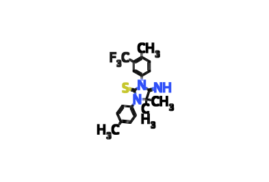 Cc1ccc(N2C(=S)N(c3ccc(C)c(C(F)(F)F)c3)C(=N)C2(C)C)cc1